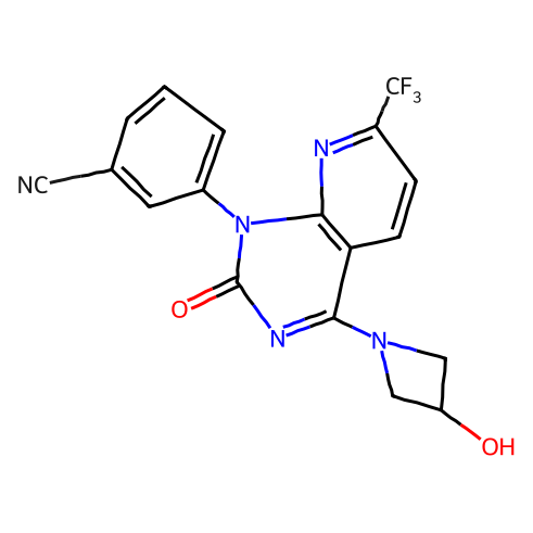 N#Cc1cccc(-n2c(=O)nc(N3CC(O)C3)c3ccc(C(F)(F)F)nc32)c1